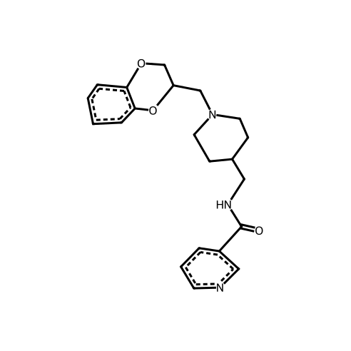 O=C(NCC1CCN(CC2COc3ccccc3O2)CC1)c1cccnc1